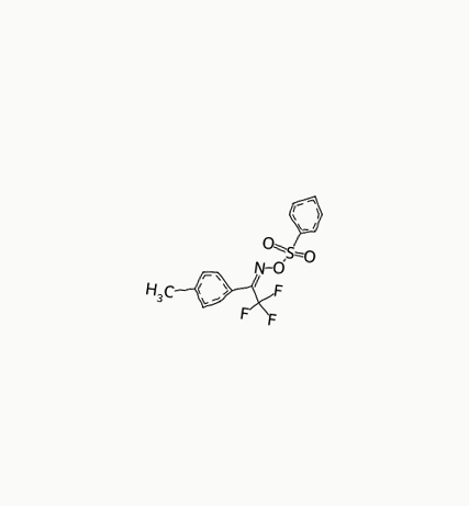 Cc1ccc(/C(=N/OS(=O)(=O)c2ccccc2)C(F)(F)F)cc1